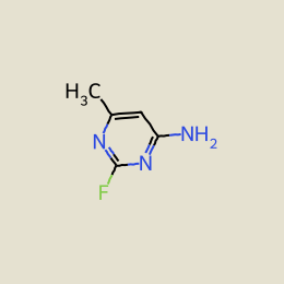 Cc1cc(N)nc(F)n1